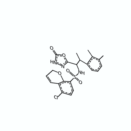 Cc1cccc(C(C)C(NS(=O)(=O)c2ccc(Cl)c3c2OCC=C3)c2n[nH]c(=O)o2)c1C